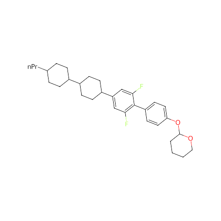 CCCC1CCC(C2CCC(c3cc(F)c(-c4ccc(OC5CCCCO5)cc4)c(F)c3)CC2)CC1